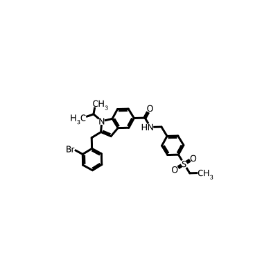 CCS(=O)(=O)c1ccc(CNC(=O)c2ccc3c(c2)cc(Cc2ccccc2Br)n3C(C)C)cc1